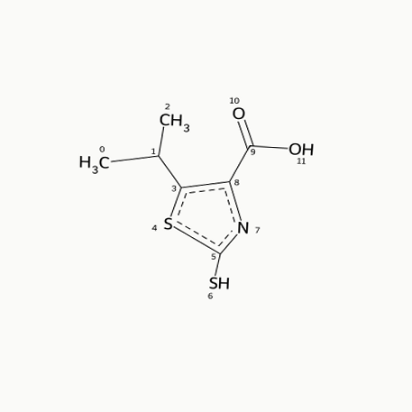 CC(C)c1sc(S)nc1C(=O)O